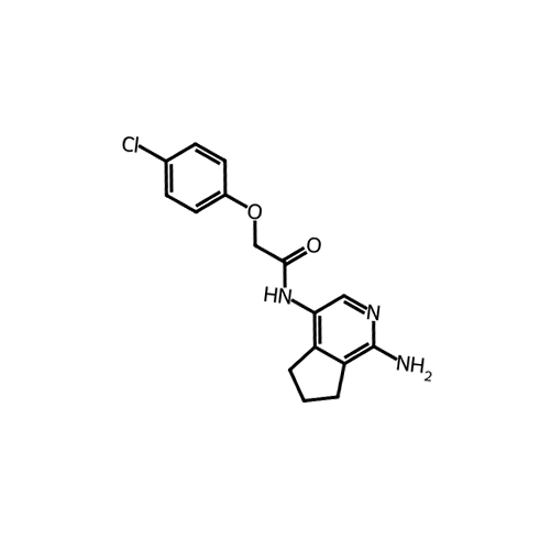 Nc1ncc(NC(=O)COc2ccc(Cl)cc2)c2c1CCC2